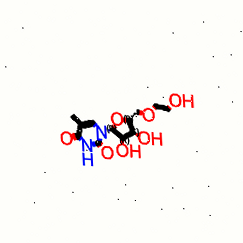 Cc1cn([C@@H]2O[C@H](COCCO)[C@@H](O)[C@H]2O)c(=O)[nH]c1=O